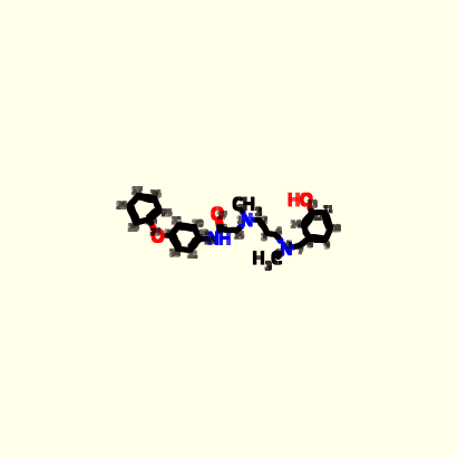 CN(CCCN(C)Cc1cccc(O)c1)CC(=O)Nc1ccc(Oc2ccccc2)cc1